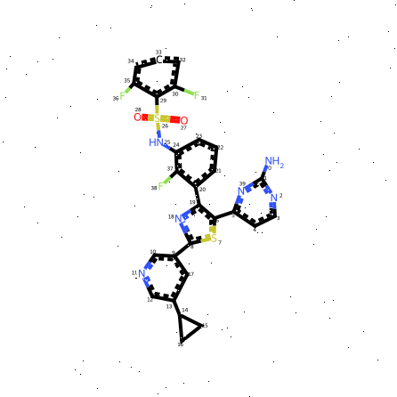 Nc1nccc(-c2sc(-c3cncc(C4CC4)c3)nc2-c2cccc(NS(=O)(=O)c3c(F)cccc3F)c2F)n1